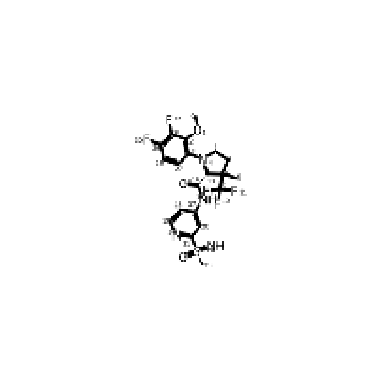 COc1c(N2CCC(C)(C(F)(F)F)[C@@H]2C(=O)Nc2ccnc([S@](C)(=N)=O)c2)ccc(F)c1F